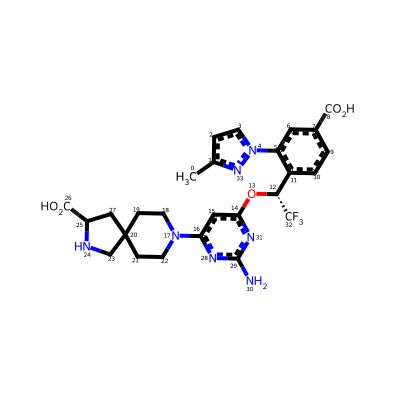 Cc1ccn(-c2cc(C(=O)O)ccc2[C@@H](Oc2cc(N3CCC4(CC3)CNC(C(=O)O)C4)nc(N)n2)C(F)(F)F)n1